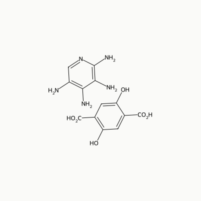 Nc1cnc(N)c(N)c1N.O=C(O)c1cc(O)c(C(=O)O)cc1O